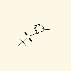 Cc1nnc(S(=O)(=O)C(Br)(Br)Br)o1